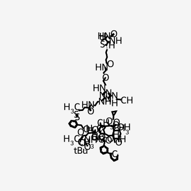 C#CCNc1nc(NCCNC(=O)CCC(C)SSc2ccccc2CC(=O)O[C@@H](C(=O)O[C@H]2C[C@@]3(O)[C@@H](OC(=O)c4cccc(-c5ccccc5)c4)[C@@H]4[C@]5(OC(C)=O)CO[C@@H]5C[C@H](O)[C@@]4(C)C(=O)[C@H](OC(=O)C4CC4)C(=C2C)C3(C)C)[C@H](C=C(C)C)NC(=O)OC(C)(C)C)nc(NCCOCCNC(=O)CCCC[C@@H]2SC[C@@H]3NC(=O)N[C@@H]32)n1